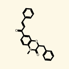 CN1C(=O)C(Cc2ccccc2)Oc2cc(C(=O)C=Cc3ccccc3)ccc21